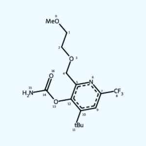 COCCOCc1nc(C(F)(F)F)cc(C(C)(C)C)c1OC(N)=O